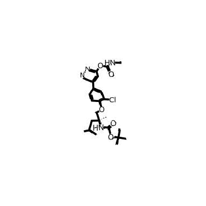 CNC(=O)Oc1cc(-c2ccc(OC[C@](C)(CC(C)C)NC(=O)OC(C)(C)C)c(Cl)c2)cnn1